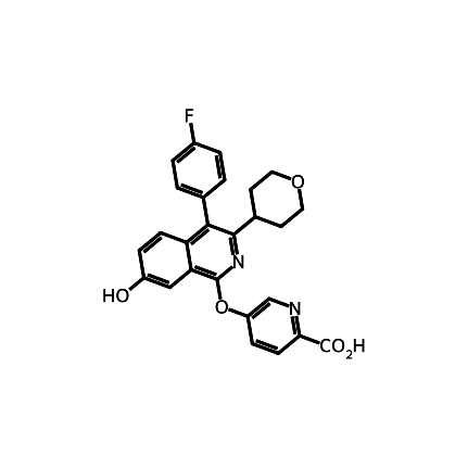 O=C(O)c1ccc(Oc2nc(C3CCOCC3)c(-c3ccc(F)cc3)c3ccc(O)cc23)cn1